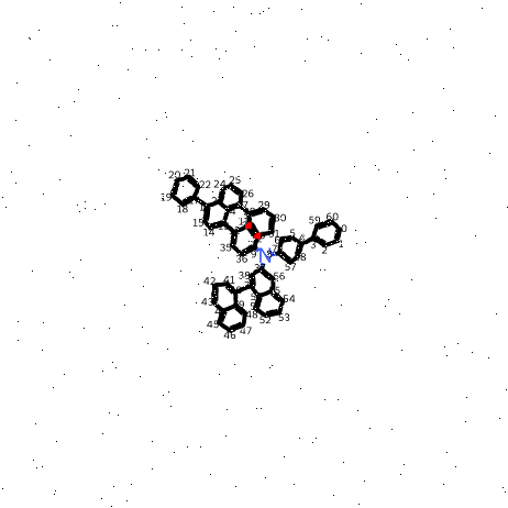 c1ccc(-c2ccc(N(c3ccc(-c4ccc(-c5ccccc5)c5cccc(-c6ccccc6)c45)cc3)c3cc(-c4cccc5ccccc45)c4ccccc4c3)cc2)cc1